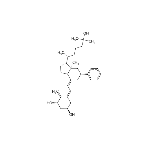 C=C1/C(=C\C=C2C[C@H](c3ccccc3)C[C@@]3(C)C2CC[C@@H]3[C@H](C)CCCC(C)(C)O)C[C@@H](O)C[C@H]1O